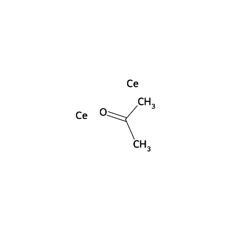 CC(C)=O.[Ce].[Ce]